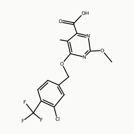 COc1nc(OCc2ccc(C(F)(F)F)c(Cl)c2)c(C)c(C(=O)O)n1